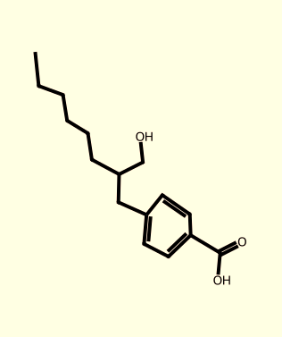 CCCCCCC(CO)Cc1ccc(C(=O)O)cc1